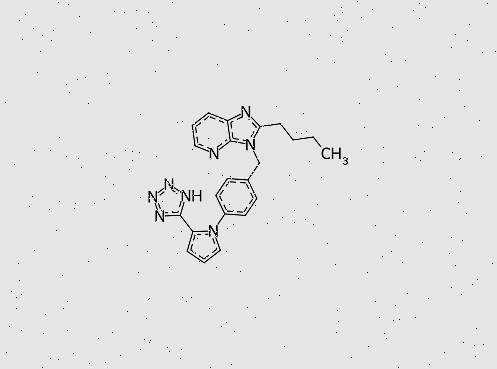 CCCCc1nc2cccnc2n1Cc1ccc(-n2cccc2-c2nnn[nH]2)cc1